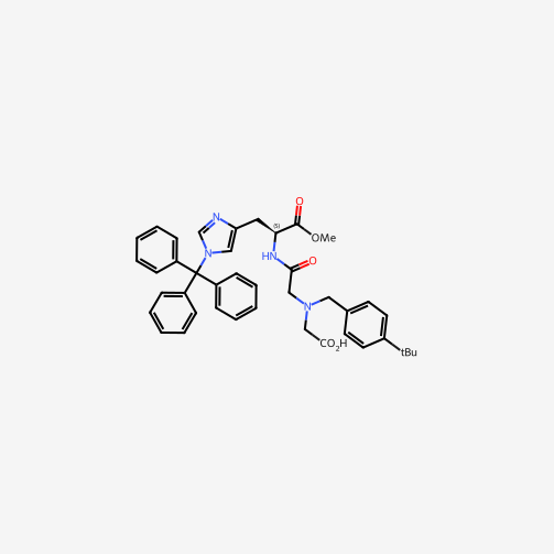 COC(=O)[C@H](Cc1cn(C(c2ccccc2)(c2ccccc2)c2ccccc2)cn1)NC(=O)CN(CC(=O)O)Cc1ccc(C(C)(C)C)cc1